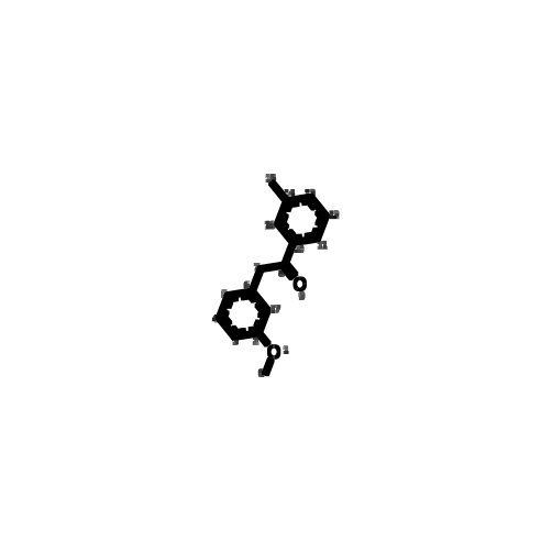 COc1cccc(CC(=O)c2cccc(C)c2)c1